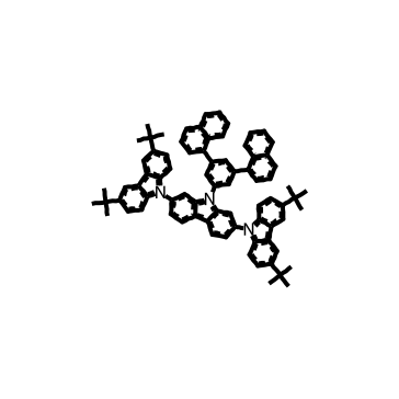 CC(C)(C)c1ccc2c(c1)c1cc(C(C)(C)C)ccc1n2-c1ccc2c3ccc(-n4c5ccc(C(C)(C)C)cc5c5cc(C(C)(C)C)ccc54)cc3n(-c3cc(-c4cccc5ccccc45)cc(-c4cccc5ccccc45)c3)c2c1